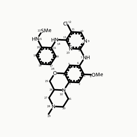 COc1cc2c(cc1Nc1ncc(Cl)c(Nc3ccccc3NSC)n1)OCC1CN(C)CCN21